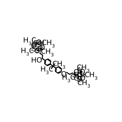 C[SiH]1O[SiH](C)O[Si](C)(CCCOc2ccc(C(C)(C)c3ccc(C(O)CC[Si]4(C)O[SiH](C)O[SiH](C)O[SiH](C)O4)cc3)cc2)O[SiH](C)O1